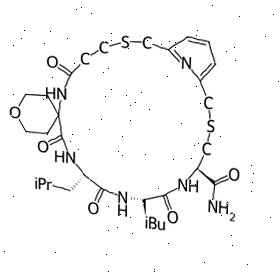 CC[C@H](C)[C@@H]1NC(=O)[C@H](CC(C)C)NC(=O)C2(CCOCC2)NC(=O)CCSCc2cccc(n2)CSC[C@@H](C(N)=O)NC1=O